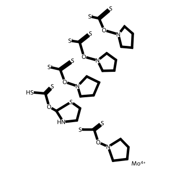 S=C(S)OC1NCCS1.S=C([S-])ON1CCCC1.S=C([S-])ON1CCCC1.S=C([S-])ON1CCCC1.S=C([S-])ON1CCCC1.[Mo+4]